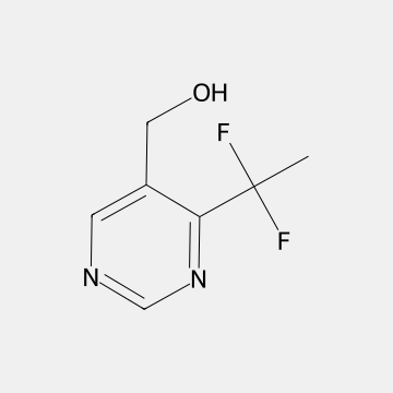 CC(F)(F)c1ncncc1CO